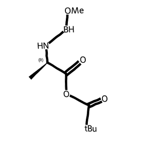 COBN[C@H](C)C(=O)OC(=O)C(C)(C)C